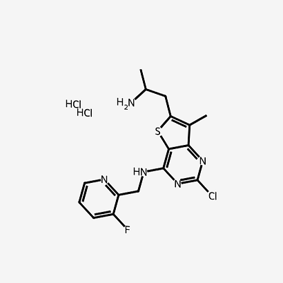 Cc1c(CC(C)N)sc2c(NCc3ncccc3F)nc(Cl)nc12.Cl.Cl